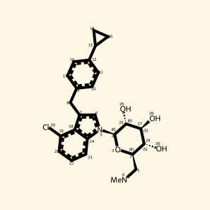 CNC[C@H]1O[C@@H](n2cc(Cc3ccc(C4CC4)cc3)c3c(Cl)cccc32)[C@H](O)[C@@H](O)[C@@H]1O